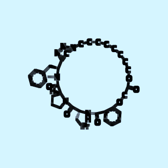 CC(C)C[C@H]1NC(=O)c2ccccc2OCC(=O)OCCCCCCCCn2cc(nn2)[C@H](Cc2ccccc2)N(C)C(=O)[C@H]2CCCN2C1=O